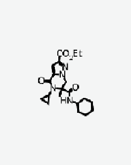 CCOC(=O)c1cc2n(n1)CC(C)(C(=O)NC1CCCCC1)N(C1CC1)C2=O